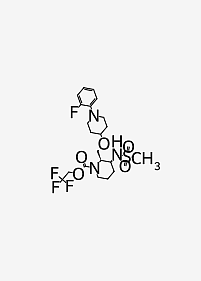 CS(=O)(=O)N[C@H]1CCCN(C(=O)OCC(F)(F)F)[C@H]1COC1CCN(c2ccccc2F)CC1